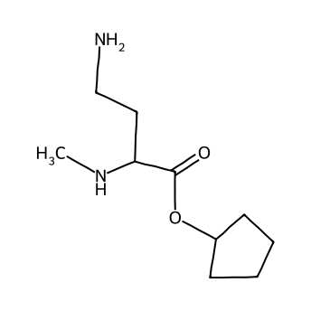 CNC(CCN)C(=O)OC1CCCC1